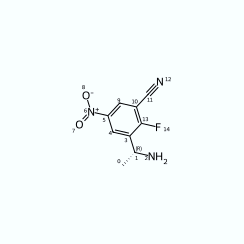 C[C@@H](N)c1cc([N+](=O)[O-])cc(C#N)c1F